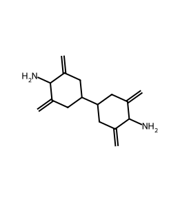 C=C1CC(C2CC(=C)C(N)C(=C)C2)CC(=C)C1N